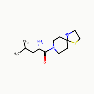 CC(C)C[C@H](N)C(=O)N1CCC2(CC1)NCCS2